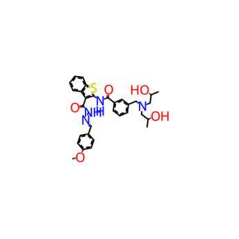 COc1ccc(C=NNC(=O)c2c(NC(=O)c3cccc(CN(CC(C)O)CC(C)O)c3)sc3ccccc23)cc1